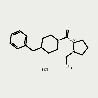 CCN1CCC[C@H]1C(=O)N1CCC(Cc2ccccc2)CC1.Cl